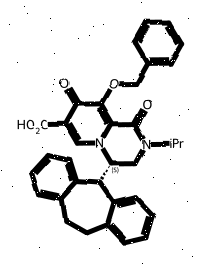 CC(C)N1C[C@H](C2c3ccccc3CCc3ccccc32)n2cc(C(=O)O)c(=O)c(OCc3ccccc3)c2C1=O